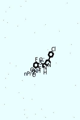 CCCS(=O)(=O)Nc1ccc(F)c([S+]([O-])c2c[nH]c3ncc(-c4ccc(Cl)cc4)cc23)c1F